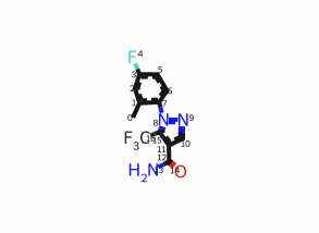 Cc1cc(F)ccc1-n1ncc(C(N)=O)c1C(F)(F)F